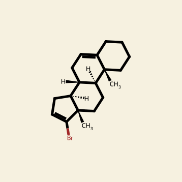 C[C@]12CCCCC1=CC[C@@H]1[C@@H]2CC[C@]2(C)C(Br)=CC[C@@H]12